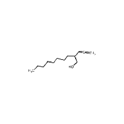 C=C=CC(CO)CCCCCCCC